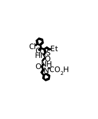 CCc1cc(C(=O)c2ccccc2Cl)c(NC(=O)CNC(=O)c2cc3ccccc3n2CC(=O)O)s1